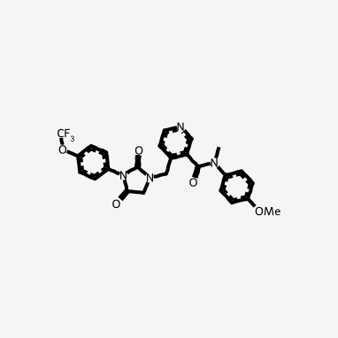 COc1ccc(N(C)C(=O)c2cnccc2CN2CC(=O)N(c3ccc(OC(F)(F)F)cc3)C2=O)cc1